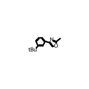 Cc1nc(-c2cccc(C(C)(C)C)c2)co1